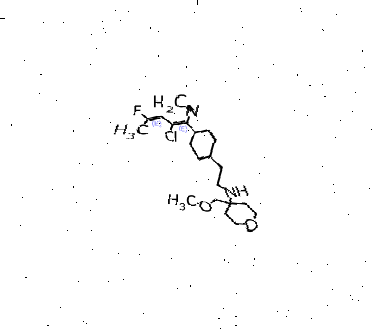 C=N/C(=C(Cl)\C=C(/C)F)[C@H]1CC[C@@H](CCNC2(COC)CCOCC2)CC1